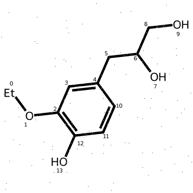 CCOc1cc(CC(O)CO)ccc1O